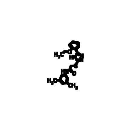 CCOc1ccccc1-c1nnc(SCC(=O)Nc2cc(C)cc(C)c2)[nH]1